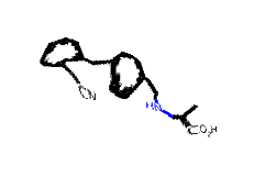 CC(NCc1ccc(-c2ccccc2C#N)cc1)C(=O)O